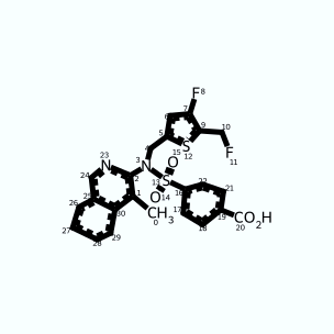 Cc1c(N(Cc2cc(F)c(CF)s2)S(=O)(=O)c2ccc(C(=O)O)cc2)ncc2ccccc12